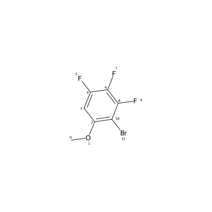 COc1cc(F)c(F)c(F)c1Br